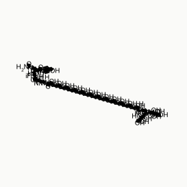 CN[C@@H](CCCCNC(=O)C(O)COCC(O)COCC(O)COCC(O)COCC(O)COCC(O)COCC(O)COCC(O)COCC(O)COCC(O)COCC(O)COCC(O)C(=O)NCCN(C[C@H](O)[C@@H](O)[C@H](O)[C@H](O)CO)C[C@H](O)[C@@H](O)[C@H](O)[C@H](O)CO)C(=O)N[C@H](C(=O)N[C@@H](CCCNC(N)=O)C(=O)Nc1ccc(CO)cc1)C(C)C